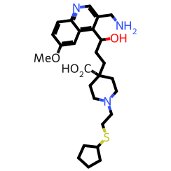 COc1ccc2ncc(CN)c(C(O)CCC3(C(=O)O)CCN(CCSC4CCCC4)CC3)c2c1